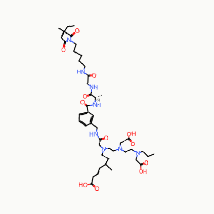 CCCN(CCN(CCN(CCC(C)CCCC(=O)O)CC(=O)NCc1cccc(C(=O)N[C@@H](C)C(=O)NCC(=O)NCCCCCN2C(=O)CC(C)(CC)C2=O)c1)CC(=O)O)CC(=O)O